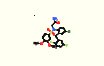 COc1ccc(S(=O)(=O)N(CC(N)=O)c2ccc(Cl)cc2Cc2cc(F)ccc2F)cc1OC